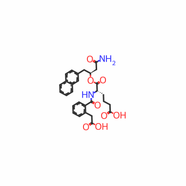 NC(=O)C[C@H](Cc1ccc2ccccc2c1)OC(=O)[C@H](CCCC(=O)O)NC(=O)c1ccccc1CC(=O)O